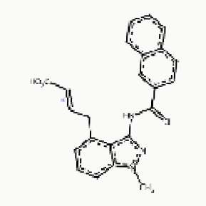 Cn1nc(NC(=O)c2ccc3ccccc3c2)c2c(C/C=C/C(=O)O)cccc21